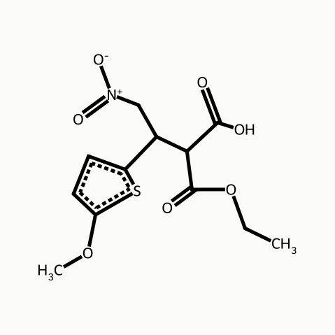 CCOC(=O)C(C(=O)O)C(C[N+](=O)[O-])c1ccc(OC)s1